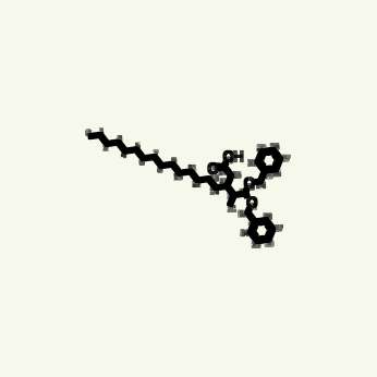 CCCCCCCCCCCCCCCC(CC(=O)O)C(C)C(OCc1ccccc1)OCc1ccccc1